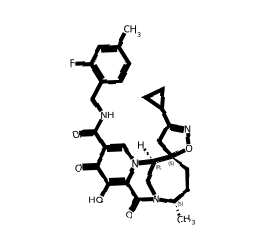 Cc1ccc(CNC(=O)c2cn3c(c(O)c2=O)C(=O)N2C[C@@H]3[C@]3(CC[C@@H]2C)CC(C2CC2)=NO3)c(F)c1